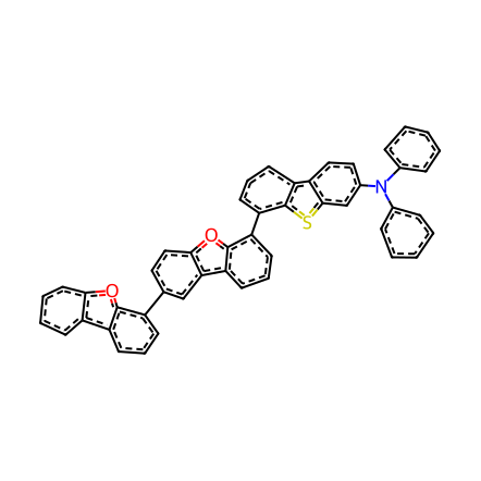 c1ccc(N(c2ccccc2)c2ccc3c(c2)sc2c(-c4cccc5c4oc4ccc(-c6cccc7c6oc6ccccc67)cc45)cccc23)cc1